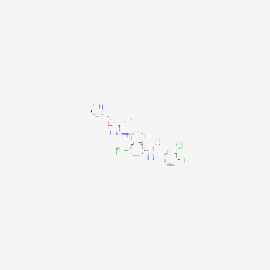 O=C(N[C@H]1CCc2c(C(=O)Nc3ccc(F)c(Cl)c3)ccc(F)c21)OCc1cc[nH]n1